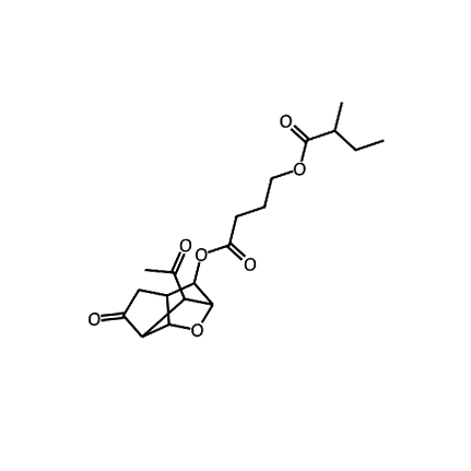 CCC(C)C(=O)OCCCC(=O)OC1C2CC(=O)C3C2OC1C3C(C)=O